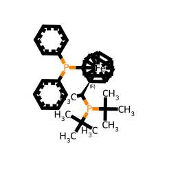 CC(P(C(C)(C)C)C(C)(C)C)[C@@]12[CH]3[CH]4[CH]5[C]1(P(c1ccccc1)c1ccccc1)[Fe]45321678[CH]2[CH]1[CH]6[CH]7[CH]28